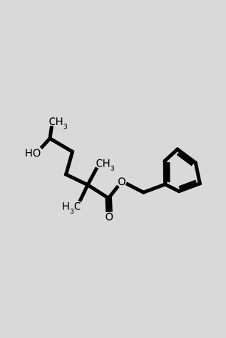 CC(O)CCC(C)(C)C(=O)OCc1ccccc1